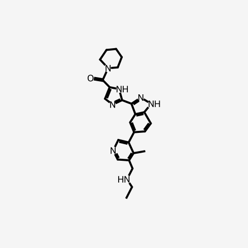 CCNCc1cncc(-c2ccc3[nH]nc(-c4ncc(C(=O)N5CCCCC5)[nH]4)c3c2)c1C